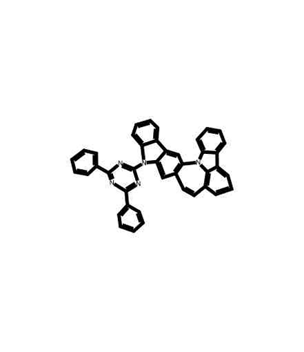 C1=Cc2cccc3c4ccccc4n(c23)-c2cc3c4ccccc4n(-c4nc(-c5ccccc5)nc(-c5ccccc5)n4)c3cc21